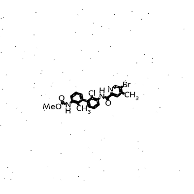 COC(=O)Nc1cccc(-c2cccc(NC(=O)c3cc(C)c(Br)cn3)c2Cl)c1C